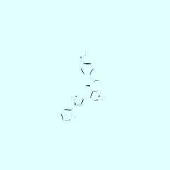 Cc1cc(N2C[C@H](C)n3ncc(-c4cc(-c5ccccn5)no4)c3C2=O)ccc1C(F)(F)F